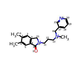 Cc1cc2c(cc1C)C(=O)N(CCCN(C)Cc1cccnc1)C2